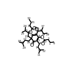 CCCC(=O)OC1=C(CCC(C)C)C(=O)C(CCC(C)C)(CCC(C)C)C(OC(=O)CCC)=C1C(=O)C(C)CC